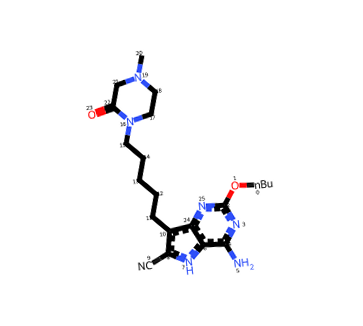 CCCCOc1nc(N)c2[nH]c(C#N)c(CCCCCN3CCN(C)CC3=O)c2n1